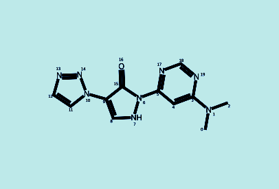 CN(C)c1cc(-n2[nH]cc(-n3ccnn3)c2=O)ncn1